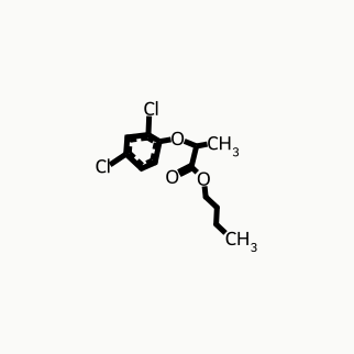 CCCCOC(=O)C(C)Oc1ccc(Cl)cc1Cl